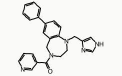 O=C(c1cccnc1)N1CCN(Cc2c[nH]cn2)c2ccc(-c3ccccc3)cc2C1